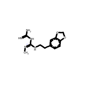 C/N=C(\NCCc1ccc2c(c1)OCO2)NC(=N)N